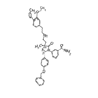 CCOc1cc(CCNCC[C@@]2(C)S[C@@H](c3ccc(OCc4ccccc4)cc3)N(c3cccc(C(N)=O)c3)C2=O)ccc1OC